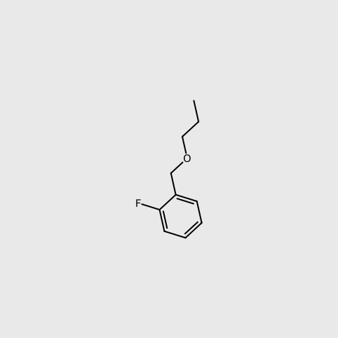 CCCOCc1ccccc1F